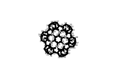 c1ccc2c(c1)c1ccncc1n2-c1c(-n2c3ccccc3c3ccncc32)c(-n2c3ccccc3c3ccncc32)c(-n2c3ccccc3c3ccncc32)c(-n2c3ccccc3c3ccncc32)c1-n1c2ccccc2c2ccncc21